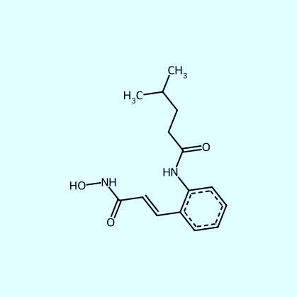 CC(C)CCC(=O)Nc1ccccc1C=CC(=O)NO